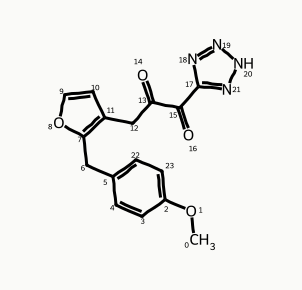 COc1ccc(Cc2occc2CC(=O)C(=O)c2nn[nH]n2)cc1